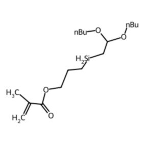 C=C(C)C(=O)OCCC[SiH2]CC(OCCCC)OCCCC